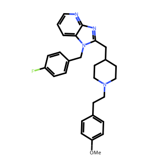 COc1ccc(CCN2CCC(Cc3nc4ncccc4n3Cc3ccc(F)cc3)CC2)cc1